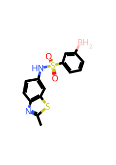 Bc1cccc(S(=O)(=O)Nc2ccc3nc(C)sc3c2)c1